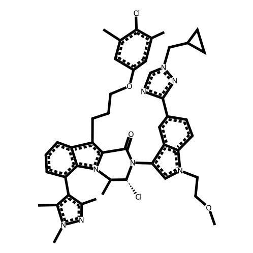 COCCn1cc(N2C(=O)c3c(CCCOc4cc(C)c(Cl)c(C)c4)c4cccc(-c5c(C)nn(C)c5C)c4n3C(C)[C@H]2Cl)c2cc(-c3ncn(CC4CC4)n3)ccc21